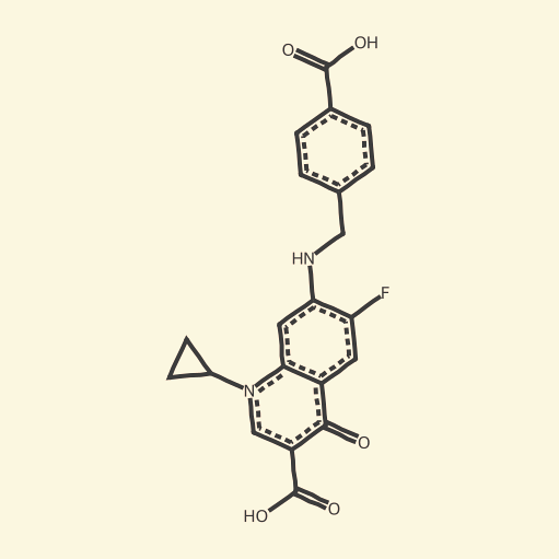 O=C(O)c1ccc(CNc2cc3c(cc2F)c(=O)c(C(=O)O)cn3C2CC2)cc1